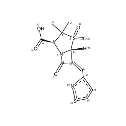 CC1(C)[C@H](C(=O)O)N2C(=O)/C(=C\c3ccsn3)[C@H]2S1(=O)=O